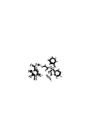 CCC(=O)O[C@](Cc1ccccc1)(c1ccccc1)[C@H](C)CN(C)C.O=C(O)c1cc(=O)[nH]c(=O)[nH]1